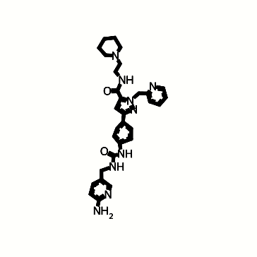 Nc1ccc(CNC(=O)Nc2ccc(-c3cc(C(=O)NCCN4CCCCC4)n(Cc4ccccn4)n3)cc2)cn1